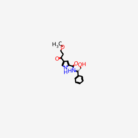 COCCC(=O)c1c[nH]c(C(=O)N[C@H](CO)c2ccccc2)c1